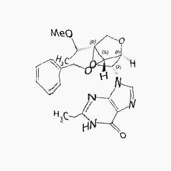 COC(C)[C@@]12CO[C@@H]([C@H](n3cnc4c(=O)[nH]c(C)nc43)O1)[C@@H]2OCc1ccccc1